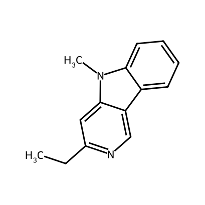 CCc1cc2c(cn1)c1ccccc1n2C